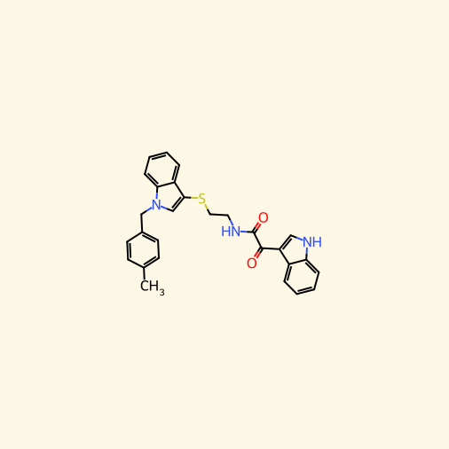 Cc1ccc(Cn2cc(SCCNC(=O)C(=O)c3c[nH]c4ccccc34)c3ccccc32)cc1